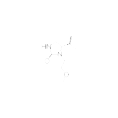 C=C(C)[C@@H]1CNC(=O)N1CCOC